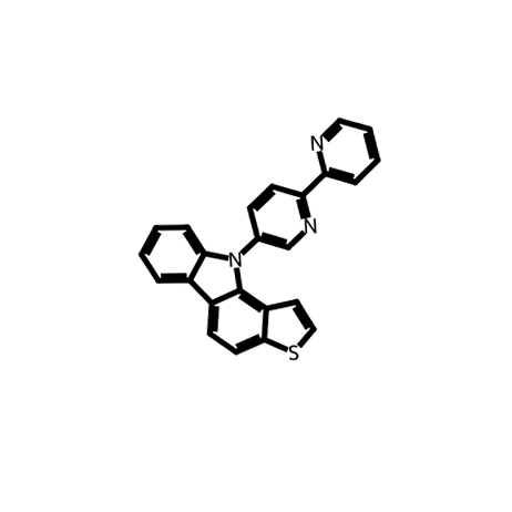 c1ccc(-c2ccc(-n3c4ccccc4c4ccc5sccc5c43)cn2)nc1